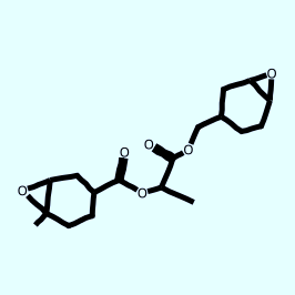 CC(OC(=O)C1CCC2(C)OC2C1)C(=O)OCC1CCC2OC2C1